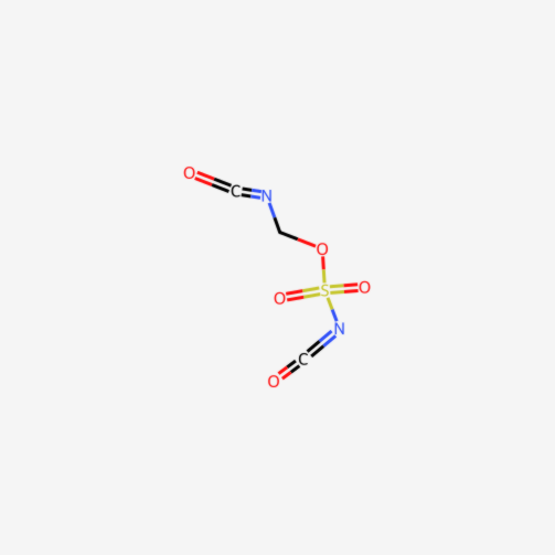 O=C=NCOS(=O)(=O)N=C=O